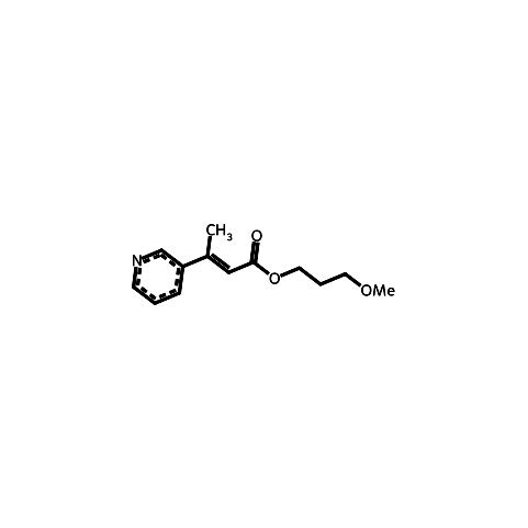 COCCCOC(=O)/C=C(\C)c1cccnc1